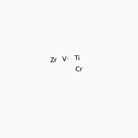 [Cr].[Ti].[V].[Zr]